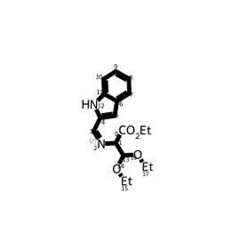 CCOC(=O)C(/N=C\c1cc2ccccc2[nH]1)C(OCC)OCC